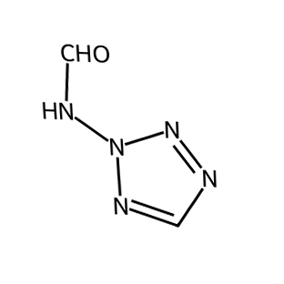 O=CNn1ncnn1